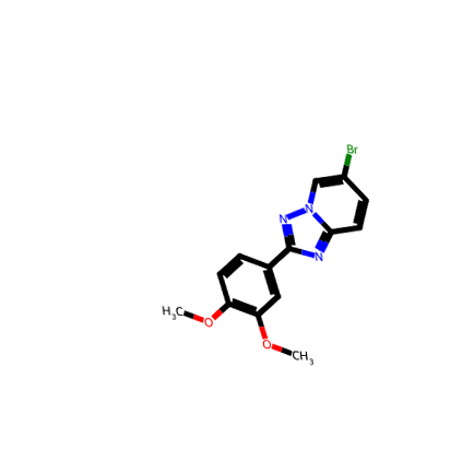 COc1ccc(-c2nc3ccc(Br)cn3n2)cc1OC